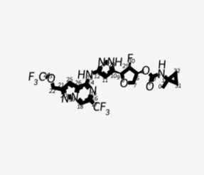 CC1(NC(=O)O[C@H]2CO[C@@H](c3cc(Nc4nc(C(F)(F)F)cn5nc(COC(F)(F)F)cc45)n[nH]3)[C@H]2F)CC1